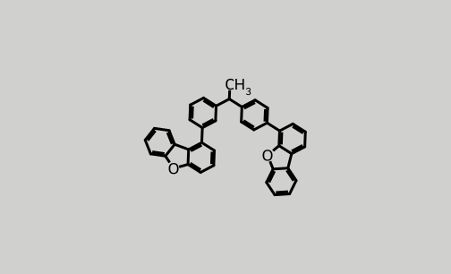 CC(c1ccc(-c2cccc3c2oc2ccccc23)cc1)c1cccc(-c2cccc3oc4ccccc4c23)c1